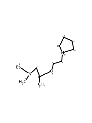 CCN(C)CC(C)OCCN1CCCC1